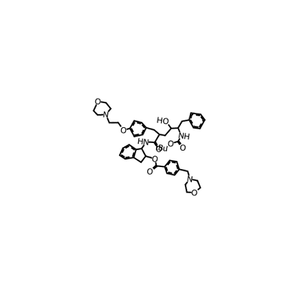 CC(C)(C)OC(=O)NC(Cc1ccccc1)C(O)CC(Cc1ccc(OCCN2CCOCC2)cc1)C(=O)NC1c2ccccc2CC1OC(=O)c1ccc(CN2CCOCC2)cc1